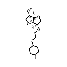 CO[C@@H]1CO[C@H]2[C@@H]1OC[C@H]2OCCOC1CCNCC1